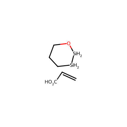 C1CO[SiH2][SiH2]C1.C=CC(=O)O